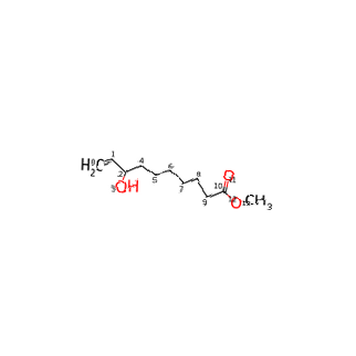 C=CC(O)CCCCCCC(=O)OC